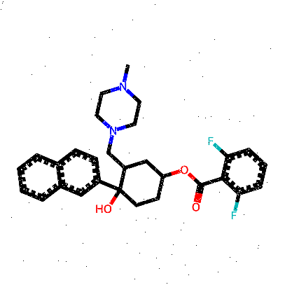 CN1CCN(CC2CC(OC(=O)c3c(F)cccc3F)CCC2(O)c2ccc3ccccc3c2)CC1